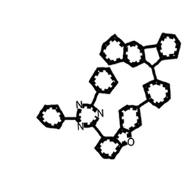 c1ccc(-c2nc(-c3ccccc3)nc(-c3cccc4oc5cc(-c6cccc(C7c8ccccc8-c8cc9ccccc9cc87)c6)ccc5c34)n2)cc1